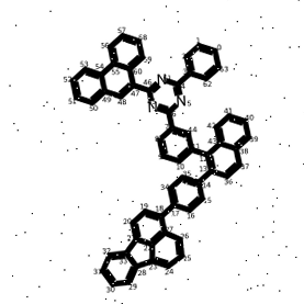 c1ccc(-c2nc(-c3cccc(-c4c(-c5ccc(-c6ccc7c8c(cccc68)-c6ccccc6-7)cc5)ccc5ccccc45)c3)nc(-c3cc4ccccc4c4ccccc34)n2)cc1